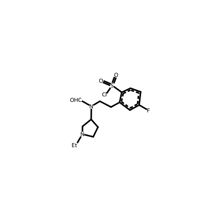 CCN1CCC(N(C=O)CCc2cc(F)ccc2S(=O)(=O)Cl)C1